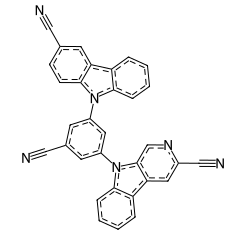 N#Cc1cc(-n2c3ccccc3c3cc(C#N)ccc32)cc(-n2c3ccccc3c3cc(C#N)ncc32)c1